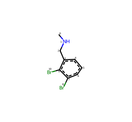 CNCc1cccc(Br)c1Br